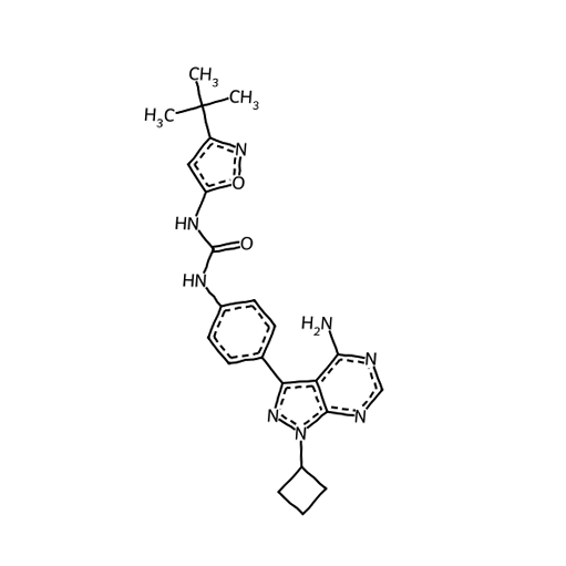 CC(C)(C)c1cc(NC(=O)Nc2ccc(-c3nn(C4CCC4)c4ncnc(N)c34)cc2)on1